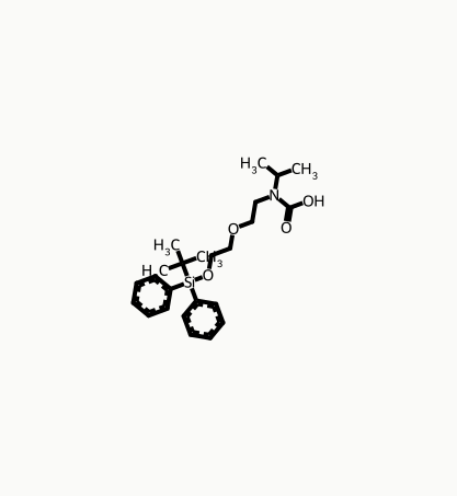 CC(C)N(CCOCCO[Si](c1ccccc1)(c1ccccc1)C(C)(C)C)C(=O)O